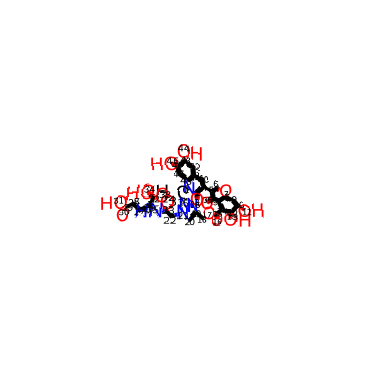 Cn1c(=O)c(-c2coc3cc(O)c(O)c(C(=O)OCc4cn(CC(=O)NC(CCC(=O)O)C(=O)O)nn4)c3c2=O)cc2cc(O)c(O)cc21